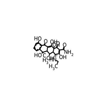 CCN[C@@H]1C(O)=C(C(N)=O)C(=O)C2(O)C(O)=C3C(=O)c4c(O)cccc4C(C)(O)C3C(O)C12